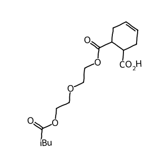 CCC(C)C(=O)OCCOCCOC(=O)C1CC=CCC1C(=O)O